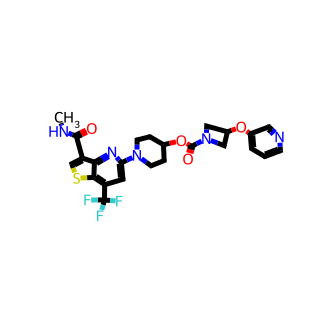 CNC(=O)c1csc2c(C(F)(F)F)cc(N3CCC(OC(=O)N4CC(Oc5cccnc5)C4)CC3)nc12